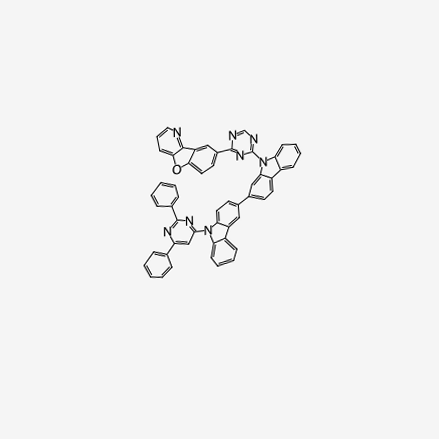 c1ccc(-c2cc(-n3c4ccccc4c4cc(-c5ccc6c7ccccc7n(-c7ncnc(-c8ccc9oc%10cccnc%10c9c8)n7)c6c5)ccc43)nc(-c3ccccc3)n2)cc1